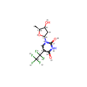 C[C@@H]1O[C@H](n2cc(C(F)(F)C(F)(F)F)c(=O)[nH]c2=O)CC1O